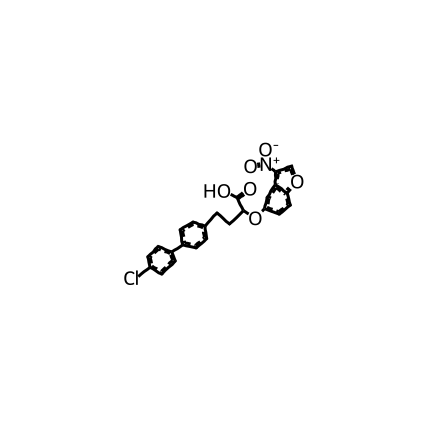 O=C(O)C(CCc1ccc(-c2ccc(Cl)cc2)cc1)Oc1ccc2occ([N+](=O)[O-])c2c1